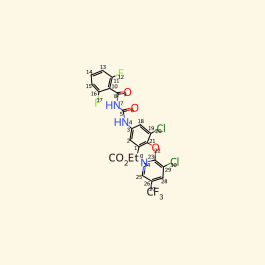 CCOC(=O)c1cc(NC(=O)NC(=O)c2c(F)cccc2F)cc(Cl)c1Oc1ncc(C(F)(F)F)cc1Cl